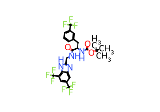 CC(C)(C)OC(=O)N[C@H](Cc1cccc(C(F)(F)F)c1)C(=O)NCc1nc2cc(C(F)(F)F)cc(C(F)(F)F)c2[nH]1